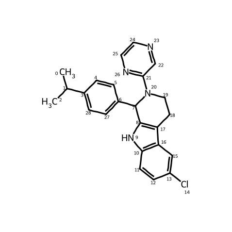 CC(C)c1ccc(C2c3[nH]c4ccc(Cl)cc4c3CCN2c2cnccn2)cc1